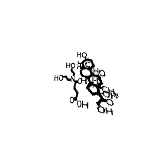 C[C@]12CC[C@@H](O)C[C@H]1CC[C@@H]1[C@@H]2C(=O)C[C@@]2(C)[C@H]1CC[C@]2(O)C(=O)CO.O=C(O)CCC(=O)N(CCO)CCO